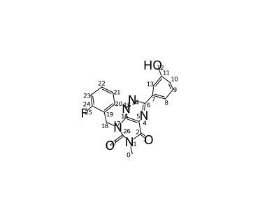 Cn1c(=O)c2nc(-c3cccc(O)c3)nnc2n(Cc2ccccc2F)c1=O